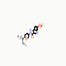 CC([C@@H]1CC[C@@H](NC(=O)c2cnc3cc(OC(F)F)ccc3c2)CO1)C(F)(F)F